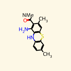 CNC(=O)c1c(C)cc2c(c1N)Nc1ccc(C)cc1S2